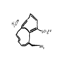 Nc1cccc2cccc(S(=O)(=O)O)c12.O